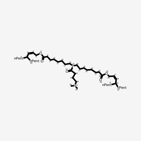 CCCCCC(/C=C\COC(=O)CCCCCCCP(CCCCCCCC(=O)OC/C=C\C(CCCCC)CCCCC)C(=O)CCCN(C)C)CCCCC